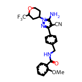 COc1ccccc1C(=O)NCc1ccc(-c2nn(C3CCOC(C(F)(F)F)C3)c(N)c2C#N)cc1